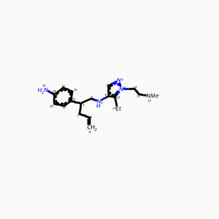 C=CCC(CNc1cnn(CCNC)c1CC)c1ccc(N)cc1